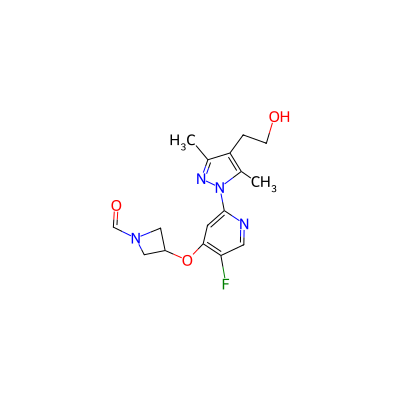 Cc1nn(-c2cc(OC3CN(C=O)C3)c(F)cn2)c(C)c1CCO